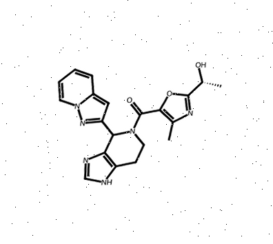 Cc1nc([C@@H](C)O)oc1C(=O)N1CCc2[nH]cnc2C1c1cc2ccccn2n1